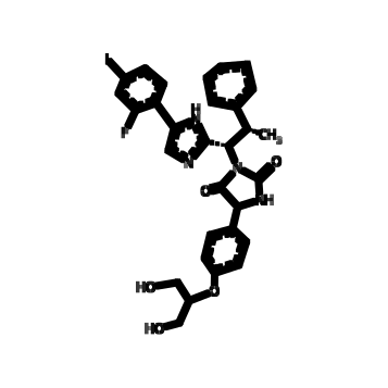 C[C@@H](c1ccccc1)[C@@H](c1ncc(-c2ccc(I)cc2F)[nH]1)N1C(=O)NC(c2ccc(OC(CO)CO)cc2)C1=O